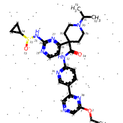 CCOc1cncc(-c2ccc(NC(=O)C3(c4ccnc(N[S+]([O-])C5CC5)n4)CCN(C(C)C)CC3)nc2)n1